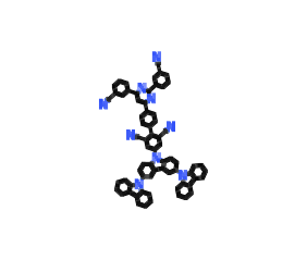 N#Cc1cccc(-c2cc(-c3ccc(-c4c(C#N)cc(-n5c6ccc(-n7c8ccccc8c8ccccc87)cc6c6cc(-n7c8ccccc8c8ccccc87)ccc65)cc4C#N)cc3)nc(-c3cccc(C#N)c3)n2)c1